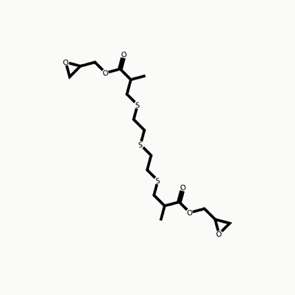 CC(CSCCSCCSCC(C)C(=O)OCC1CO1)C(=O)OCC1CO1